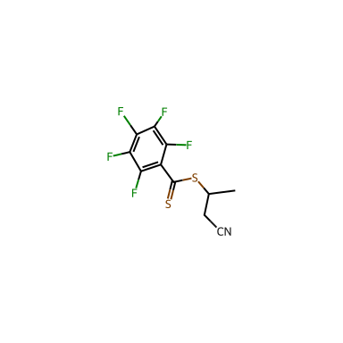 CC(CC#N)SC(=S)c1c(F)c(F)c(F)c(F)c1F